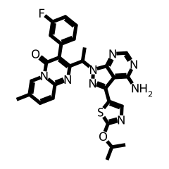 Cc1ccc2nc(C(C)n3nc(-c4cnc(OC(C)C)s4)c4c(N)ncnc43)c(-c3cccc(F)c3)c(=O)n2c1